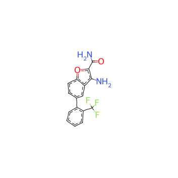 NC(=O)c1oc2ccc(-c3ccccc3C(F)(F)F)cc2c1N